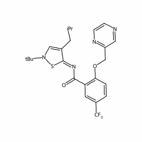 CC(C)Cc1cn(C(C)(C)C)s/c1=N\C(=O)c1cc(C(F)(F)F)ccc1OCc1cnccn1